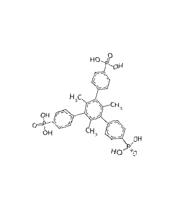 Cc1c(-c2ccc(P(=O)(O)O)cc2)c(C)c(-c2ccc(P(=O)(O)O)cc2)c(C)c1-c1ccc(P(=O)(O)O)cc1